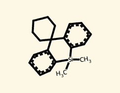 C[Si]1(C)c2ccccc2C2(CCCCC2)c2ccccc21